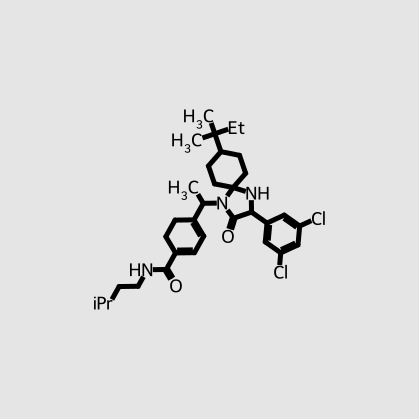 CCC(C)(C)C1CCC2(CC1)NC(c1cc(Cl)cc(Cl)c1)C(=O)N2C(C)C1=CC=C(C(=O)NCCC(C)C)CC1